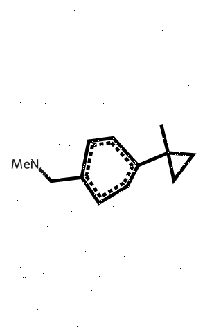 CNCc1ccc(C2(C)CC2)cc1